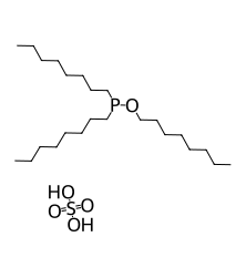 CCCCCCCCOP(CCCCCCCC)CCCCCCCC.O=S(=O)(O)O